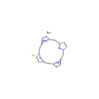 C1=Cc2cc3ccc(cc4nc(cc5ccc(cc1n2)[nH]5)C=C4)[nH]3.P.[Eu]